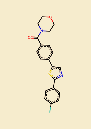 O=C(c1ccc(-c2cnc(-c3ccc(F)cc3)s2)cc1)N1CCOCC1